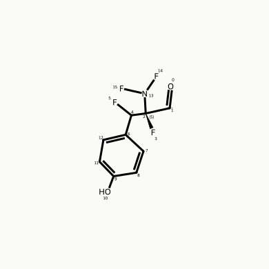 O=[C][C@](F)(C(F)c1ccc(O)cc1)N(F)F